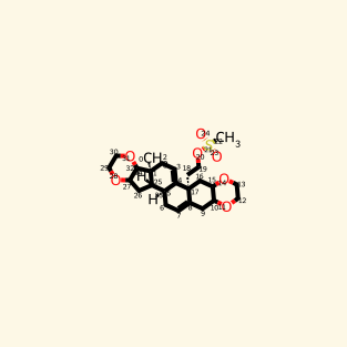 C[C@]12CC=C3[C@@H](CC=C4CC5OCCOC5C[C@@]43CCOS(C)(=O)=O)[C@@H]1CC1OCCOC12